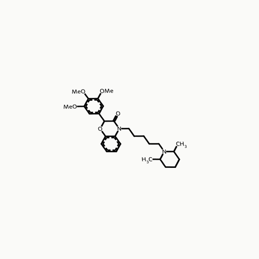 COc1cc(C2Oc3ccccc3N(CCCCCN3C(C)CCCC3C)C2=O)cc(OC)c1OC